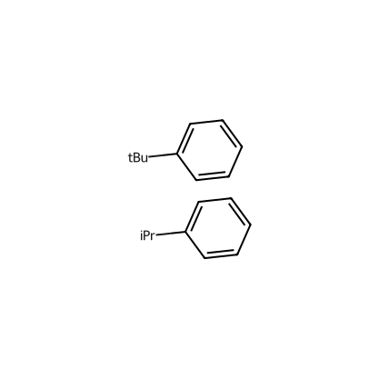 CC(C)(C)c1ccccc1.CC(C)c1ccccc1